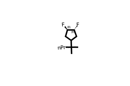 CCCC(C)(C)C1C[C@@H](F)[C@H](F)C1